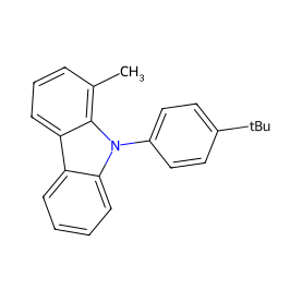 Cc1cccc2c3ccccc3n(-c3ccc(C(C)(C)C)cc3)c12